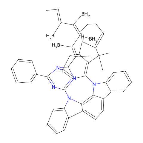 BC(=C(B)/C(B)=C(\C)c1nc(-c2ccccc2)nc(-n2c3ccccc3c3ccc4c5ccccc5n(-c5cccc6c5C(C)(C)c5ccccc5-6)c4c32)n1)/C(B)=C/C